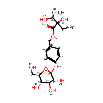 CC(C)CC(O)(C(=O)OCc1ccc(O[C@@H]2O[C@H](CO)[C@@H](O)[C@H](O)[C@H]2O)cc1)C(O)C(=O)O